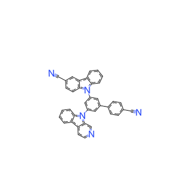 N#Cc1ccc(-c2cc(-n3c4ccccc4c4cc(C#N)ccc43)cc(-n3c4ccccc4c4ccncc43)c2)cc1